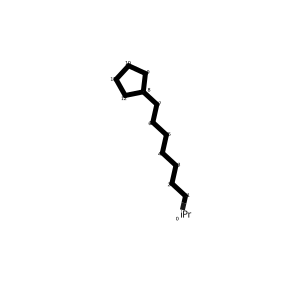 CC(C)CCCCCCCC1CCCC1